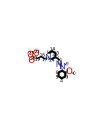 COc1ccccc1N(C)/N=C/c1ccc[n+](CCCS(=O)(=O)[O-])c1